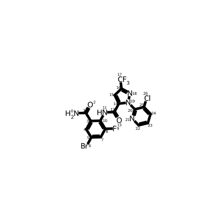 NC(=O)c1cc(Br)cc(F)c1NC(=O)c1cc(C(F)(F)F)nn1-c1ncccc1Cl